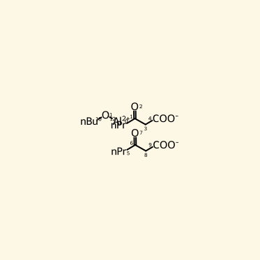 CCCC(=O)CC(=O)[O-].CCCC(=O)CC(=O)[O-].CCCC[O][Al+2]